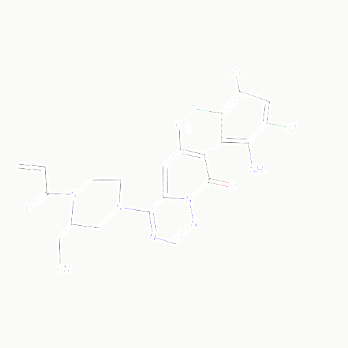 C=CC(=O)N1CCN(c2ncnn3c(=O)c(-c4c(N)c(Cl)cc(Cl)c4F)c(C(F)(F)F)cc23)CC1CC#N